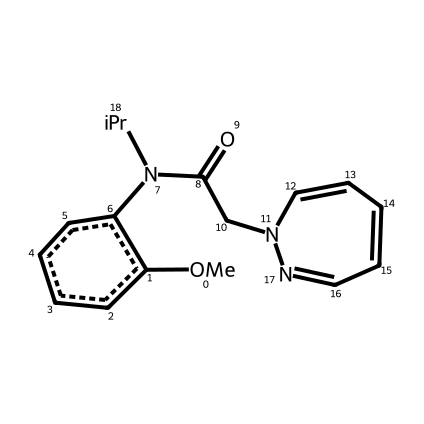 COc1ccccc1N(C(=O)CN1C=CC=CC=N1)C(C)C